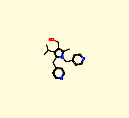 Cc1c(CO)c(C(C)C)c(Cc2ccncc2)n1Cc1ccncc1